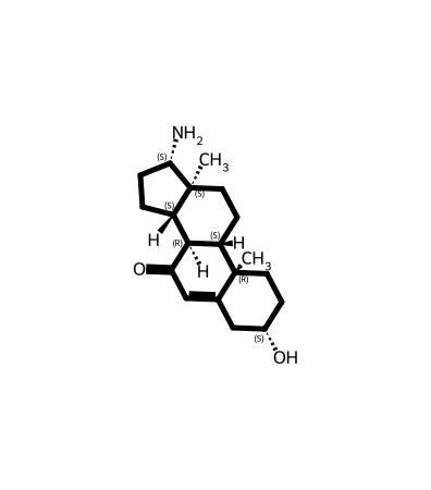 C[C@]12CC[C@H]3[C@@H](C(=O)C=C4C[C@@H](O)CC[C@@]43C)[C@@H]1CC[C@@H]2N